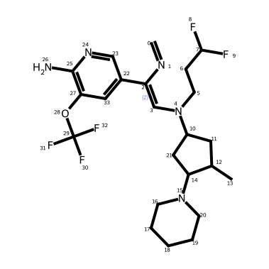 C=N/C(=C\N(CCC(F)F)C1CC(C)C(N2CCCCC2)C1)c1cnc(N)c(OC(F)(F)F)c1